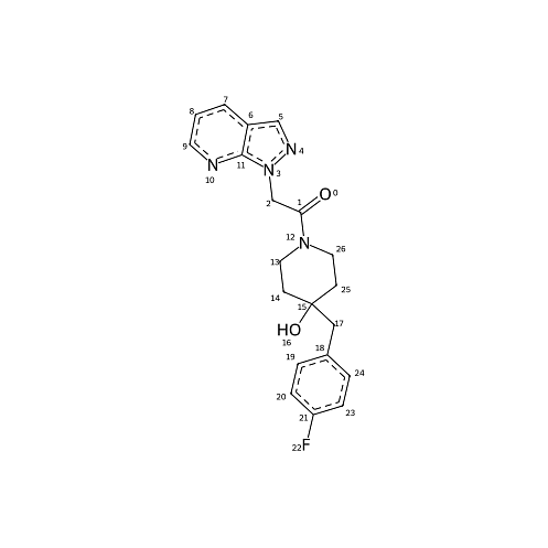 O=C(Cn1ncc2cccnc21)N1CCC(O)(Cc2ccc(F)cc2)CC1